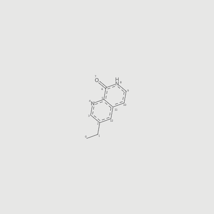 CCc1cnc2c(=O)[nH]ccc2c1